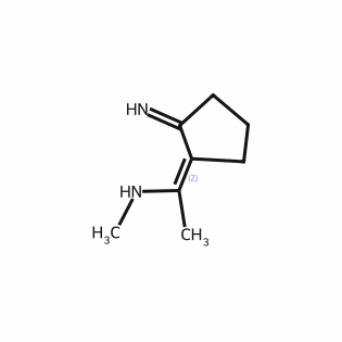 CN/C(C)=C1/CCCC1=N